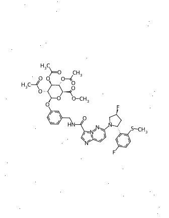 COC(=O)[C@H]1O[C@@H](Oc2cccc(CNC(=O)c3cnc4ccc(N5C[C@@H](F)C[C@@H]5c5cc(F)ccc5SC)nn34)c2)[C@H](OC(C)=O)[C@@H](OC(C)=O)[C@@H]1OC(C)=O